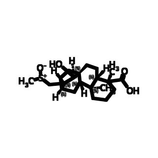 C[S+]([O-])C[C@H]1[C@H]2CC[C@@]3(CC[C@H]4[C@@](C)(CCC[C@@]4(C)C(=O)O)[C@@H]3C2)[C@@H]1O